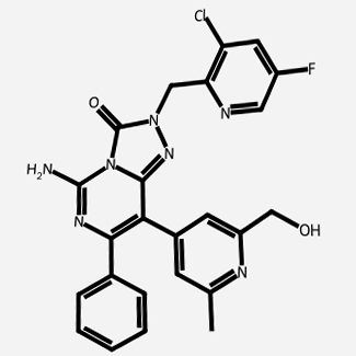 Cc1cc(-c2c(-c3ccccc3)nc(N)n3c(=O)n(Cc4ncc(F)cc4Cl)nc23)cc(CO)n1